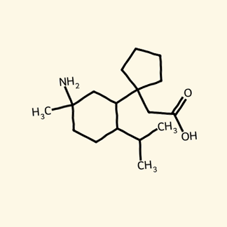 CC(C)C1CCC(C)(N)CC1C1(CC(=O)O)CCCC1